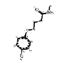 CNC(=O)CCCSc1ccc(Cl)cc1